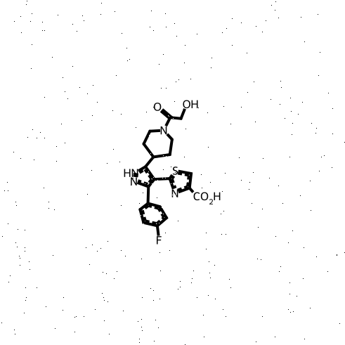 O=C(O)c1csc(-c2c(-c3ccc(F)cc3)n[nH]c2C2CCN(C(=O)CO)CC2)n1